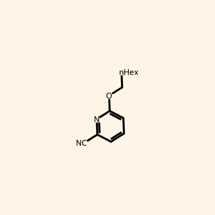 CCCCCCCOc1cccc(C#N)n1